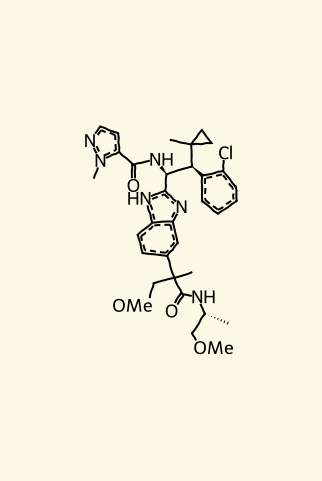 COC[C@@H](C)NC(=O)C(C)(COC)c1ccc2[nH]c([C@@H](NC(=O)c3ccnn3C)[C@H](c3ccccc3Cl)C3(C)CC3)nc2c1